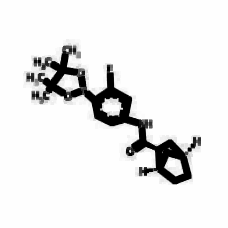 CC1(C)OB(c2ccc(NC(=O)[C@H]3C[C@H]4CC[C@@H]3C4)cc2F)OC1(C)C